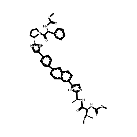 COC(=O)N[C@H](C(=O)N[C@@H](C)c1ncc(-c2ccc3cc(-c4ccc(-c5cnc([C@@H]6CCCN6C(=O)[C@H](NC(=O)OC)c6ccccc6)[nH]5)cc4)ccc3c2)[nH]1)[C@@H](C)OC